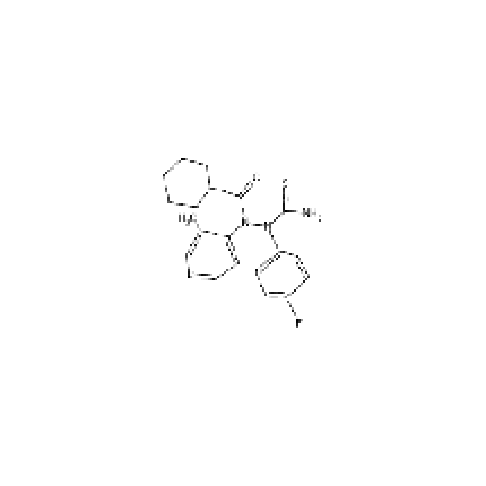 Cc1ccccc1N(C(=O)C1CCCCC1)N(C(N)=S)c1ccc(F)cc1